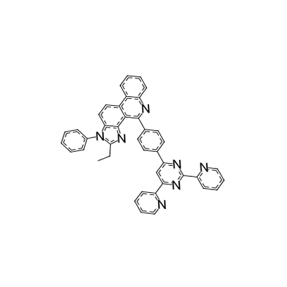 CCc1nc2c3c(-c4ccc(-c5cc(-c6ccccn6)nc(-c6ccccn6)n5)cc4)nc4ccccc4c3ccc2n1-c1ccccc1